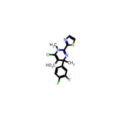 CN1C(c2nccs2)=NC(C)(c2ccc(F)c(F)c2)C(C(=O)O)=C1Cl